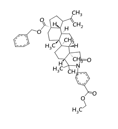 C=C(C)C1CC[C@]2(C(=O)OCc3ccccc3)CC[C@]3(C)[C@H](CC[C@@H]4[C@@]5(C)CC(=O)N(c6ccc(C(=O)OCC)cc6)C(C)(C)[C@@H]5CC[C@]43C)[C@@H]12